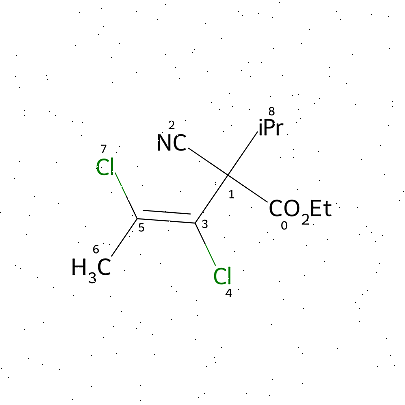 CCOC(=O)C(C#N)(C(Cl)=C(C)Cl)C(C)C